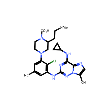 CNCCC1CN(c2cc(C#N)cc(Nc3nc(NC4CC4)c4ncc(C#N)n4n3)c2Cl)CCN1C(=O)O